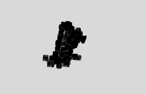 CO[C@H]([C@@H](C)C(=O)N[C@@H](Cc1ccccc1)C(=O)NS(=O)(=O)C1CC1)[C@@H]1CCCN1C(=O)C[C@@H](OC)[C@H](C(C)C)N(C)C(=O)[C@@H](NC(=O)[C@H](C(C)C)N(C)CCOCCOCCOCCON)C(C)C